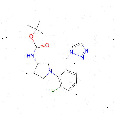 CC(C)(C)OC(=O)N[C@H]1CCN(c2c(F)cccc2[CH]n2ccnn2)C1